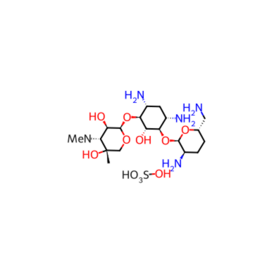 CN[C@@H]1[C@@H](O)[C@@H](O[C@@H]2[C@@H](O)[C@H](O[C@H]3O[C@H](CN)CC[C@H]3N)[C@@H](N)C[C@H]2N)OC[C@]1(C)O.O=S(=O)(O)O